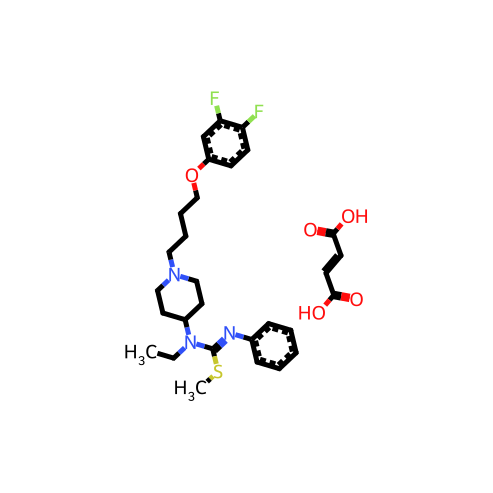 CCN(/C(=N/c1ccccc1)SC)C1CCN(CCCCOc2ccc(F)c(F)c2)CC1.O=C(O)/C=C/C(=O)O